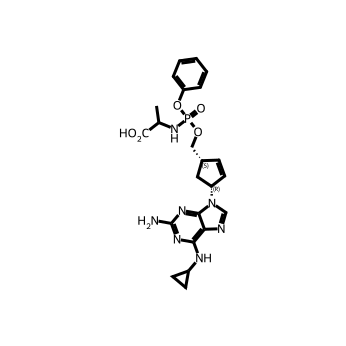 CC(NP(=O)(OC[C@@H]1C=C[C@H](n2cnc3c(NC4CC4)nc(N)nc32)C1)Oc1ccccc1)C(=O)O